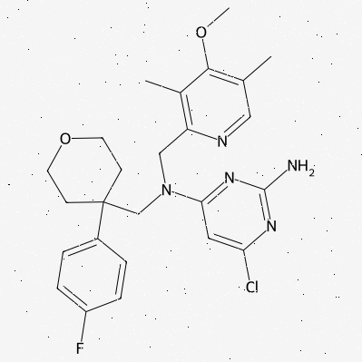 COc1c(C)cnc(CN(CC2(c3ccc(F)cc3)CCOCC2)c2cc(Cl)nc(N)n2)c1C